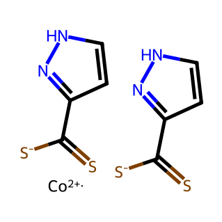 S=C([S-])c1cc[nH]n1.S=C([S-])c1cc[nH]n1.[Co+2]